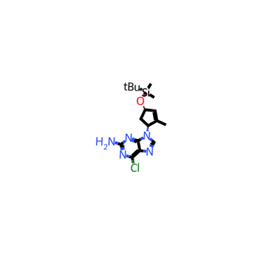 CC1=C[C@@H](O[Si](C)(C)C(C)(C)C)C[C@@H]1n1cnc2c(Cl)nc(N)nc21